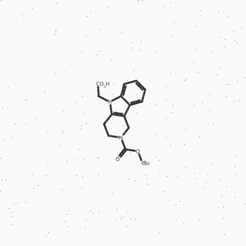 CC(C)(C)OC(=O)N1CCc2c(c3ccccc3n2CC(=O)O)C1